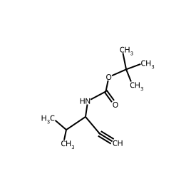 C#CC(NC(=O)OC(C)(C)C)C(C)C